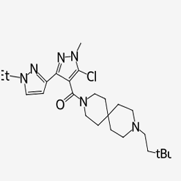 CCn1ccc(-c2nn(C)c(Cl)c2C(=O)N2CCC3(CCN(CCC(C)(C)C)CC3)CC2)n1